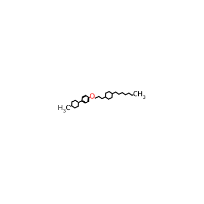 CCCCCCCC1CCC(CCCOc2ccc(C3CCC(C)CC3)cc2)CC1